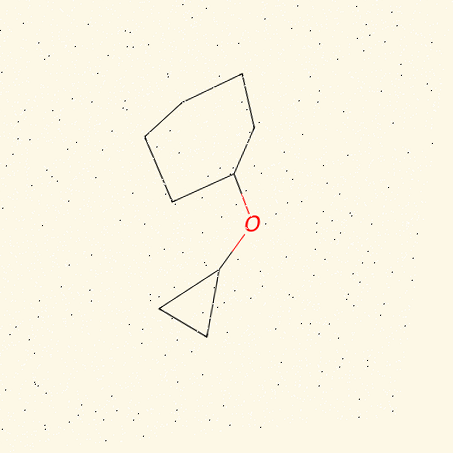 C1CCC(OC2CC2)CC1